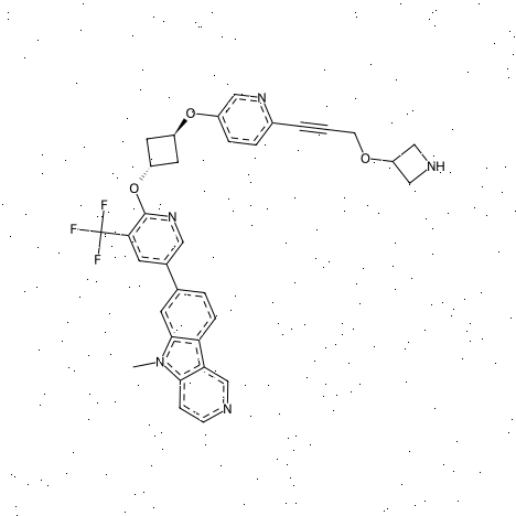 Cn1c2ccncc2c2ccc(-c3cnc(O[C@H]4C[C@H](Oc5ccc(C#CCOC6CNC6)nc5)C4)c(C(F)(F)F)c3)cc21